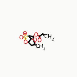 C=CC(=O)OC1C2C3OC1(C)CC3OS2(=O)=O